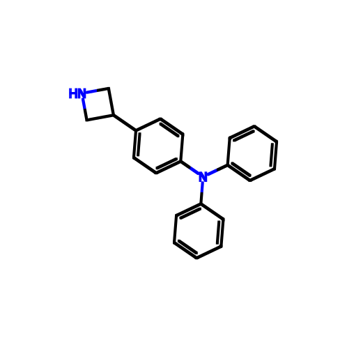 c1ccc(N(c2ccccc2)c2ccc(C3CNC3)cc2)cc1